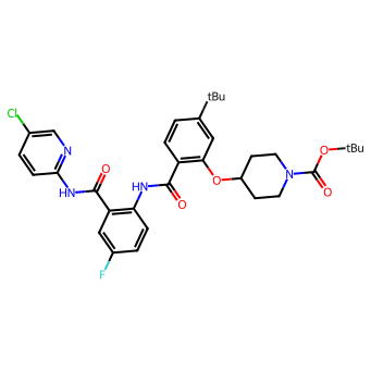 CC(C)(C)OC(=O)N1CCC(Oc2cc(C(C)(C)C)ccc2C(=O)Nc2ccc(F)cc2C(=O)Nc2ccc(Cl)cn2)CC1